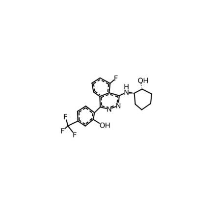 Oc1cc(C(F)(F)F)ccc1-c1nnc(N[C@@H]2CCCC[C@H]2O)c2c(F)cccc12